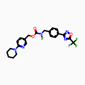 O=C(OCc1ccc(N2CCCCC2)nc1)N(F)Cc1ccc(-c2noc(C(F)(F)F)n2)cc1